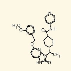 COc1cccc(COc2ccc3[nH]c(=O)n(C(C)[C@H]4CC[C@H](C(=O)Nc5ccncc5)CC4)c3n2)c1